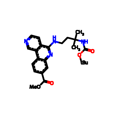 COC(=O)c1ccc2c(c1)nc(NCCC(C)(C)NC(=O)OC(C)(C)C)c1ccncc12